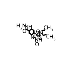 CCCN(CCC)S(=O)(=O)N1C2=CCC(C(=O)NN)=CC2=NC1NC=O